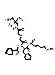 CCCCCCCCCCCCC=CC(CC)OC(=O)[C@H](OC(=O)COCC(=O)NCC(C)(C)SN=O)[C@@H](NC(=O)c1ccccc1)c1ccccc1